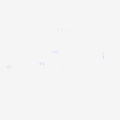 CCOC(=O)c1c(NC(=O)NCC(=O)OC(C)(C)C)sc(C2NC=CO2)c1C